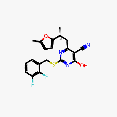 Cc1ccc([C@@H](C)Cc2nc(SCc3cccc(F)c3F)nc(O)c2C#N)o1